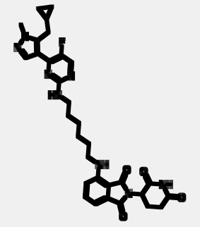 Cn1ncc(-c2nc(NCCCCCCNc3cccc4c3C(=O)N(C3CCC(=O)NC3=O)C4=O)ncc2F)c1CC1CC1